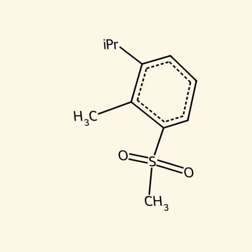 Cc1c(C(C)C)cccc1S(C)(=O)=O